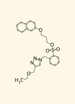 CCOCc1cn(Cc2ccccc2S(=O)(=O)OCCCOc2ccc3ccccc3c2)nn1